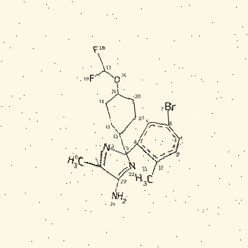 CC1=NC(c2cc(Br)ccc2C)(C2CCC(OC(F)F)CC2)N=C1N